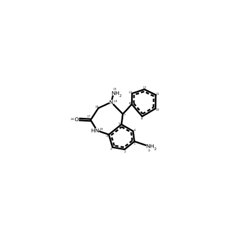 Nc1ccc2c(c1)C(c1ccccc1)N(N)CC(=O)N2